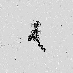 CC/C=C\C/C=C\C/C=C\C/C=C\C/C=C\CCCC(=O)OCC(C)(C)[C@@H](OC(=O)c1ccccn1)C(=O)NCCC(=O)NCCSSCCNC(=O)OC(C)(C)C